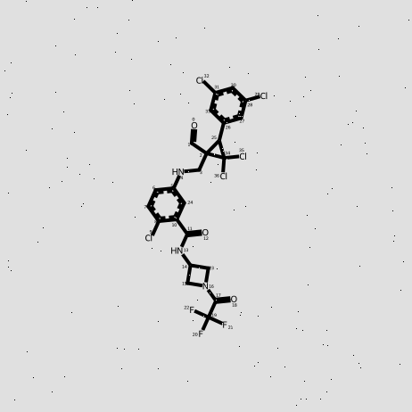 O=CC1(CNc2ccc(Cl)c(C(=O)NC3CN(C(=O)C(F)(F)F)C3)c2)C(c2cc(Cl)cc(Cl)c2)C1(Cl)Cl